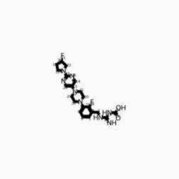 N=C(NCc1cccc(N2CCN(c3cnc(N4CC[C@@H](F)C4)nc3)CC2)c1F)NC(=O)O